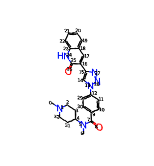 CN1CCC(N(C)C(=O)c2ccc(-n3cc(-c4cc5ccccc5[nH]c4=O)nn3)cc2)CC1